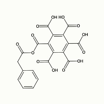 O=C(Cc1ccccc1)OC(=O)c1c(C(=O)O)c(C(=O)O)c(C(=O)O)c(C(=O)O)c1C(=O)O